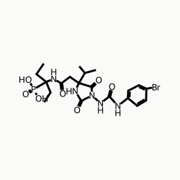 CCC(CC)(NC(=O)CC1(C(C)C)NC(=O)N(NC(=O)Nc2ccc(Br)cc2)C1=O)P(=O)(O)O